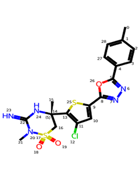 Cc1ccc(-c2nnc(-c3cc(Cl)c([C@]4(C)CS(=O)(=O)N(C)C(=N)N4)s3)o2)cc1